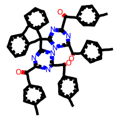 Cc1ccc(C(=O)c2nc(C(=O)c3ccc(C)cc3)nc(C3(c4nc(C(=O)c5ccc(C)cc5)nc(C(=O)c5ccc(C)cc5)n4)c4ccccc4-c4ccccc43)n2)cc1